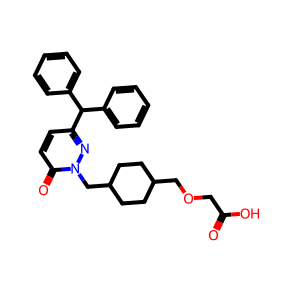 O=C(O)COCC1CCC(Cn2nc(C(c3ccccc3)c3ccccc3)ccc2=O)CC1